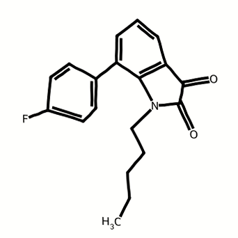 CCCCCN1C(=O)C(=O)c2cccc(-c3ccc(F)cc3)c21